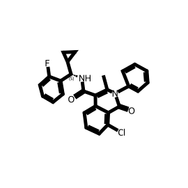 Cc1c(C(=O)N[C@H](c2ccccc2F)C2CC2)c2cccc(Cl)c2c(=O)n1-c1ccccc1